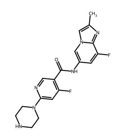 Cc1cn2cc(NC(=O)c3cnc(N4CCNCC4)cc3F)cc(F)c2n1